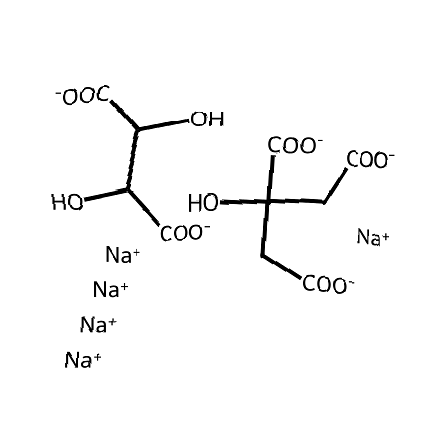 O=C([O-])C(O)C(O)C(=O)[O-].O=C([O-])CC(O)(CC(=O)[O-])C(=O)[O-].[Na+].[Na+].[Na+].[Na+].[Na+]